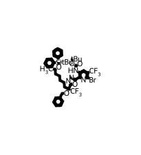 CC(CCCCC[C@@](OCc1ccccc1)(c1nnc(-c2nc(Br)c(C(F)(F)F)cc2NC(=O)OC(C)(C)C)o1)C(F)(F)F)O[Si](c1ccccc1)(c1ccccc1)C(C)(C)C